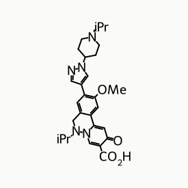 COc1cc2c(cc1-c1cnn(C3CCN(C(C)C)CC3)c1)CN(C(C)C)n1cc(C(=O)O)c(=O)cc1-2